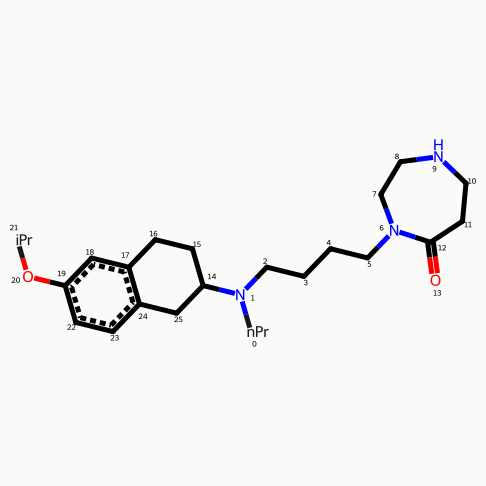 CCCN(CCCCN1CCNCCC1=O)C1CCc2cc(OC(C)C)ccc2C1